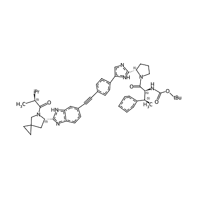 CC(C)[C@H](C)C(=O)N1CC2(CC2)C[C@H]1c1nc2ccc(C#Cc3ccc(-c4cnc([C@@H]5CCCN5C(=O)[C@@H](NC(=O)OC(C)(C)C)[C@@H](C)c5ccccc5)[nH]4)cc3)cc2[nH]1